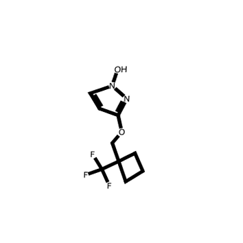 On1ccc(OCC2(C(F)(F)F)CCC2)n1